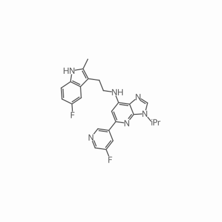 Cc1[nH]c2ccc(F)cc2c1CCNc1cc(-c2cncc(F)c2)nc2c1ncn2C(C)C